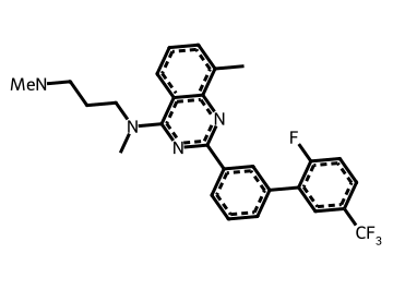 CNCCCN(C)c1nc(-c2cccc(-c3cc(C(F)(F)F)ccc3F)c2)nc2c(C)cccc12